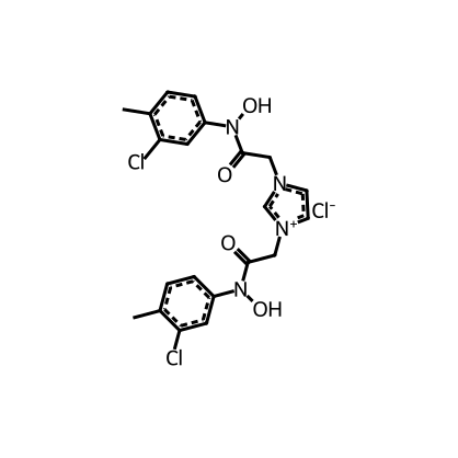 Cc1ccc(N(O)C(=O)Cn2cc[n+](CC(=O)N(O)c3ccc(C)c(Cl)c3)c2)cc1Cl.[Cl-]